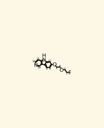 FCCOCCOc1ccc2c(c1)[nH]c1ccncc12